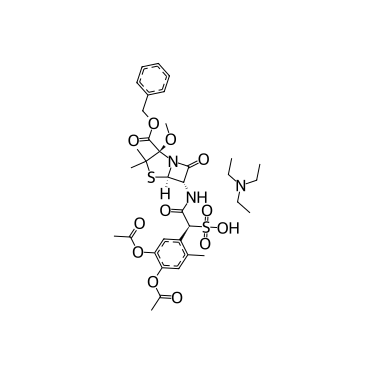 CCN(CC)CC.CO[C@@]1(C(=O)OCc2ccccc2)N2C(=O)[C@H](NC(=O)[C@H](c3cc(OC(C)=O)c(OC(C)=O)cc3C)S(=O)(=O)O)[C@H]2SC1(C)C